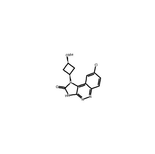 CO[C@H]1C[C@@H](n2c(=O)[nH]c3nnc4ccc(Cl)cc4c32)C1